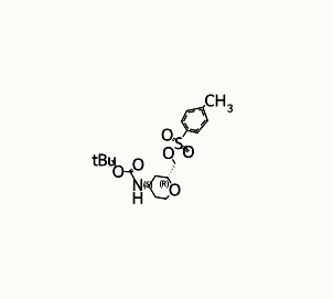 Cc1ccc(S(=O)(=O)OC[C@H]2C[C@@H](NC(=O)OC(C)(C)C)CCO2)cc1